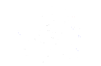 CC1(C)CCC2(C(=O)n3cnc(-c4ccccn4)c3)CCC3(C)C(C(=O)C=C4C5(C)/C=C(/C#N)COCC(C)(C)C5CCC43C)C2C1